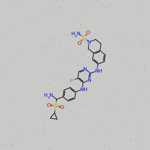 NC(c1ccc(Nc2nc(Nc3ccc4c(c3)CN(S(N)(=O)=O)CC4)ncc2F)cc1)S(=O)(=O)C1CC1